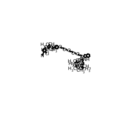 C[C@@H](C(=O)N[C@H](C(=O)N1CCCC1C(=O)N[C@H]1c2ccccc2C[C@H]1OCCOCCOCCOCCOCCOc1ccc(C(=O)NC2C(C)(C)C(Oc3ccc(C#N)c(Cl)c3)C2(C)C)cc1)C(C)(C)C)N(C)C(=O)OC(C)(C)C